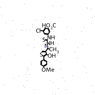 COc1ccc(-c2scc(/C(C)=N/NC(=S)Nc3ccc(C(=O)O)c(Cl)c3)c2O)cc1